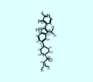 Cc1nccc(-c2[nH]c3ccc(C4CCN(C(=O)CN(C)C)CC4)cc3c2C(C)C)c1F